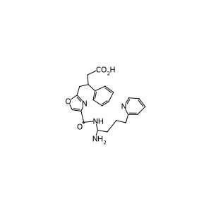 NC(CCCc1ccccn1)NC(=O)c1coc(CC(CC(=O)O)c2ccccc2)n1